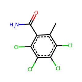 Cc1c(Cl)c(Cl)c(Cl)c(Cl)c1C(N)=O